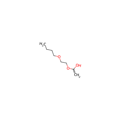 C=C(O)OCCOCCCC